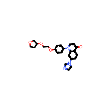 O=c1ccn(-c2ccc(OCCOC3CCOC3)cc2)c2cc(-n3ccnc3)ccc12